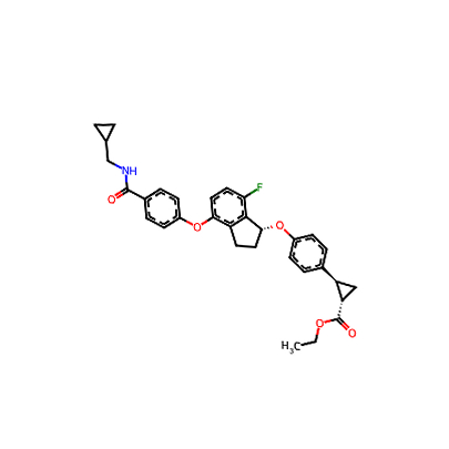 CCOC(=O)[C@H]1C[C@@H]1c1ccc(O[C@@H]2CCc3c(Oc4ccc(C(=O)NCC5CC5)cc4)ccc(F)c32)cc1